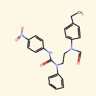 CCc1ccc(N(C=O)CCN(C(=O)Nc2ccc([N+](=O)[O-])cc2)c2ccccc2)cc1